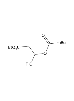 CCCCC(=O)OC(CC(=O)OCC)C(F)(F)F